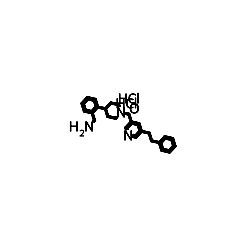 Cl.Cl.NCc1ccccc1C1CCN(C(=O)c2cncc(CCc3ccccc3)c2)CC1